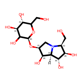 OCC1O[C@@H](O[C@H]2CN3[C@H]([C@H]2O)[C@@H](O)[C@H](O)[C@@H]3CO)C(O)[C@@H](O)[C@@H]1O